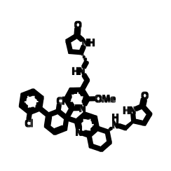 COc1nc(C2(c3ccc4c(n3)CCC[C@H]4NC[C@@H]3CCC(=O)N3)C=CC=C(c3ccccc3Cl)C2Cl)ccc1CNC[C@@H]1CCC(=O)N1